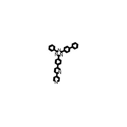 c1ccc(-c2ccc(-c3nc(-c4ccccc4)nc(-c4ccc(-c5ccc(-c6ccncc6)nc5)cc4)n3)cc2)cc1